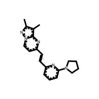 Cc1nn2ccc(/C=C/c3cccc(N4CCCC4)n3)nc2c1C